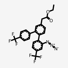 CCOC(=O)Cc1ccc(-c2ccc(C(F)(F)F)cc2N=[N+]=[N-])c(-c2ccc(C(F)(F)F)cc2)c1